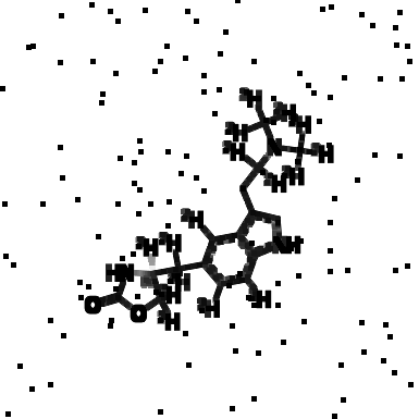 [2H]c1c(C([2H])([2H])[C@]2([2H])NC(=O)OC2([2H])[2H])c([2H])c2c(CC([2H])([2H])N(C([2H])([2H])[2H])C([2H])([2H])[2H])c[nH]c2c1[2H]